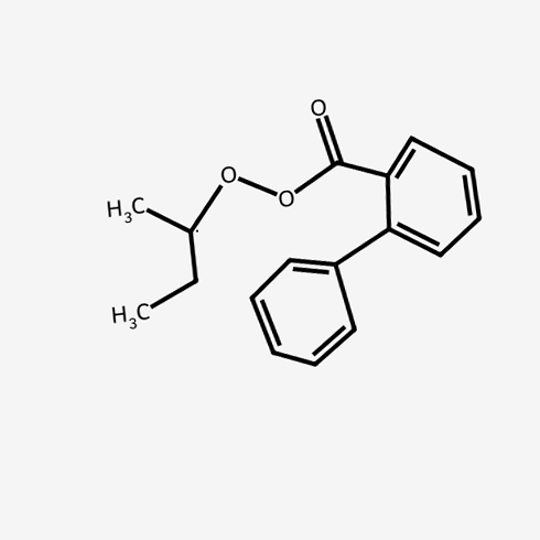 CC[C](C)OOC(=O)c1ccccc1-c1ccccc1